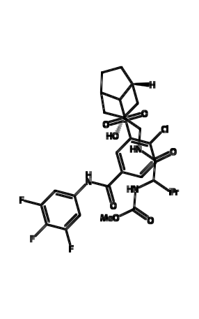 COC(=O)NC(C(=O)NC[C@@]1(O)CC2CC[C@H](C1)C2S(=O)(=O)c1cc(C(=O)Nc2cc(F)c(F)c(F)c2)ccc1Cl)C(C)C